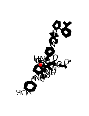 COC(C)COc1nc2[nH]cc(F)c2cc1Oc1cc(N2CCC3(CC2)CN([C@H]2CCC[C@H]2c2ccccc2C(C)C)C3)ccc1C(=O)NS(=O)(=O)c1ccc(NC[C@H]2CC[C@](C)(O)CC2)c([N+](=O)[O-])c1